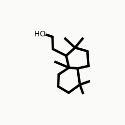 CC1(C)CCCC2(C)C1CCC(C)(C)C2CCO